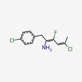 C/C(Cl)=C\C(F)=C(/N)Cc1ccc(Cl)cc1